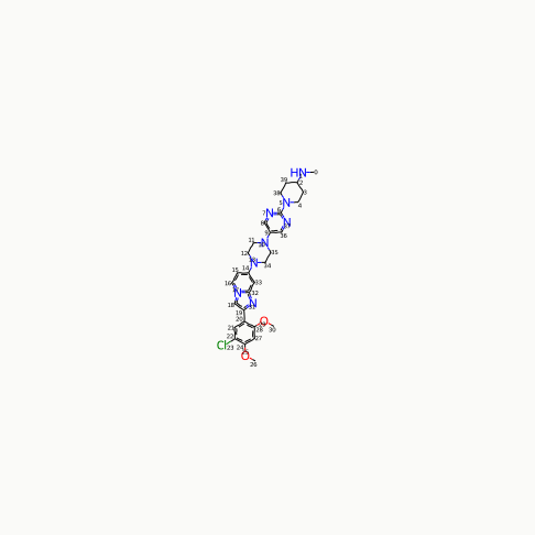 CNC1CCN(c2ncc(N3CCN(c4ccn5cc(-c6cc(Cl)c(OC)cc6OC)nc5c4)CC3)cn2)CC1